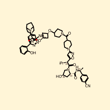 CC(C)[C@H](C(=O)N1C[C@H](O)C[C@H]1C(=O)N[C@@H](C)c1ccc(C#N)cc1)c1cc(N2CCC(C(=O)N3CCC(O[C@H]4C[C@H](Oc5cc(N6C7CCC6CN(c6cc(-c8ccccc8O)nnc6N)C7)ccn5)C4)CC3)CC2)no1